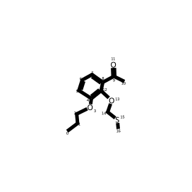 CCCOc1cccc(C(C)=O)c1OCSC